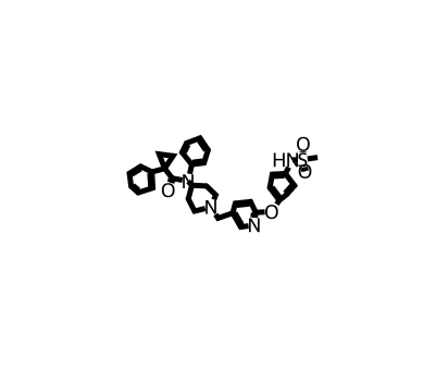 CS(=O)(=O)Nc1ccc(Oc2ccc(CN3CCC(N(C(=O)C4(c5ccccc5)CC4)c4ccccc4)CC3)cn2)cc1